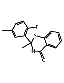 Cc1ccc(F)c(C2(C)NC(=O)c3ccccc3S2)c1